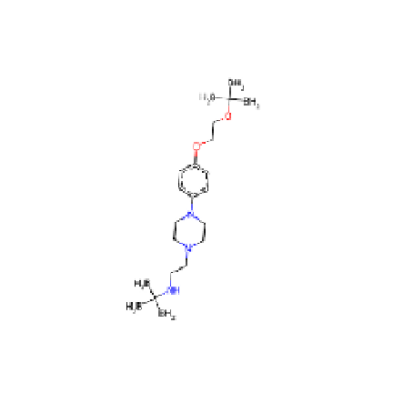 BC(B)(B)NCCN1CCN(c2ccc(OCCOC(B)(B)B)cc2)CC1